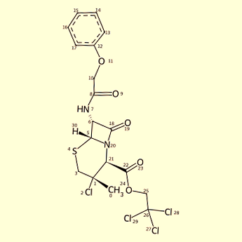 C[C@@]1(Cl)CS[C@@H]2[C@H](NC(=O)COc3ccccc3)C(=O)N2[C@H]1C(=O)OCC(Cl)(Cl)Cl